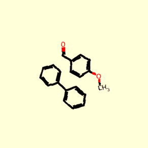 COc1ccc(C=O)cc1.c1ccc(-c2ccccc2)cc1